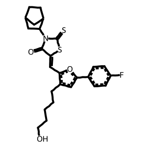 O=C1/C(=C/c2oc(-c3ccc(F)cc3)cc2CCCCCO)SC(=S)N1C1CC2CCC1C2